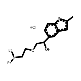 CCN(CC)CCOCC(O)c1ccc2sc(C)cc2c1.Cl